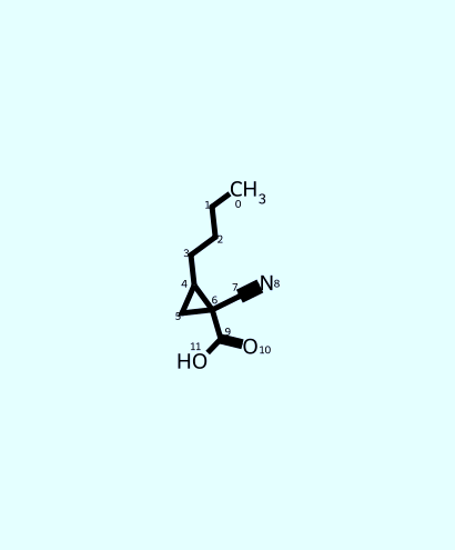 CCCCC1CC1(C#N)C(=O)O